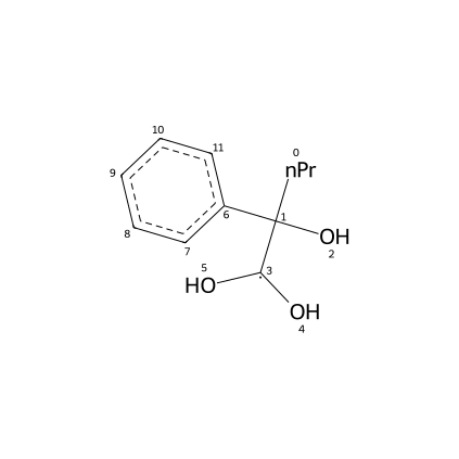 CCCC(O)([C](O)O)c1ccccc1